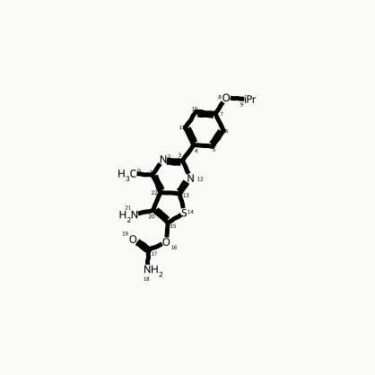 Cc1nc(-c2ccc(OC(C)C)cc2)nc2sc(OC(N)=O)c(N)c12